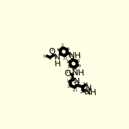 C=CC(=O)Nc1cccc(Nc2ccc(NC(=O)c3cccc(-c4cn[nH]c4)n3)cc2)c1